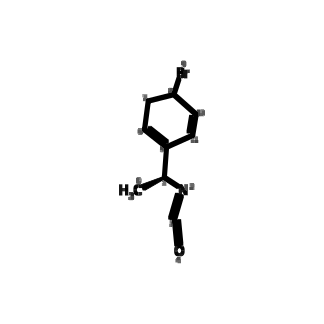 C[C@H](N=C=O)C1=CCC(Br)C=C1